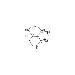 C1C[C@H]2NCC[C@@H]3NCC[C@H](N1)N32